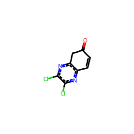 O=C1C=Cc2nc(Cl)c(Cl)nc2C1